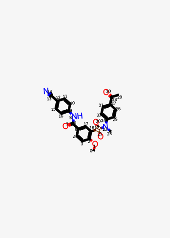 COc1ccc(C(=O)Nc2ccc(C#N)cc2)cc1S(=O)(=O)N(C)c1ccc(C(C)=O)cc1